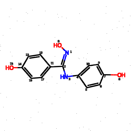 ON=C(Nc1ccc(O)cc1)c1ccc(O)cc1